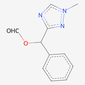 Cn1cnc(C(OC=O)c2ccccc2)n1